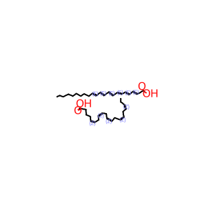 CC/C=C\C/C=C\C/C=C\C/C=C\C/C=C\CCCC(=O)O.CCCCCCCCC/C=C/C=C/C=C/C=C/C=C/C=C/C(=O)O